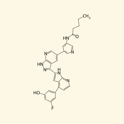 CCCCC(=O)Nc1cncc(-c2cnc3[nH]nc(-c4cc5c(-c6cc(O)cc(F)c6)ccnc5[nH]4)c3c2)c1